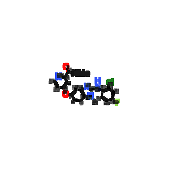 CNC(=O)c1cc(Oc2ccc3c(c2)nc(Nc2ccc(F)cc2Cl)n3C)ccn1